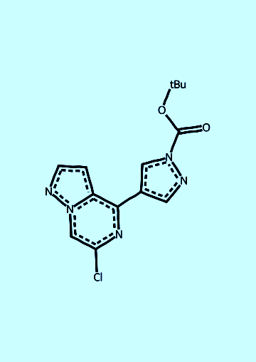 CC(C)(C)OC(=O)n1cc(-c2nc(Cl)cn3nccc23)cn1